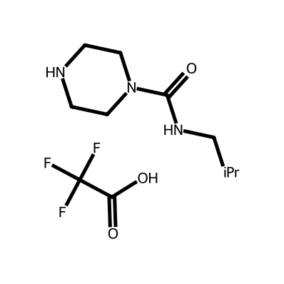 CC(C)CNC(=O)N1CCNCC1.O=C(O)C(F)(F)F